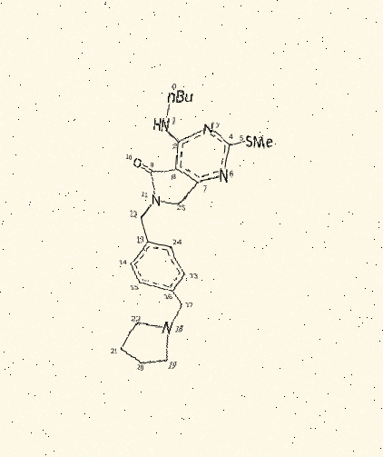 CCCCNc1nc(SC)nc2c1C(=O)N(Cc1ccc(CN3CCCC3)cc1)C2